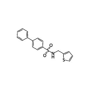 O=S(=O)(NCc1cccs1)c1ccc(-c2ccccc2)cc1